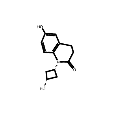 O=C1CCc2cc(O)ccc2N1[C@H]1C[C@@H](O)C1